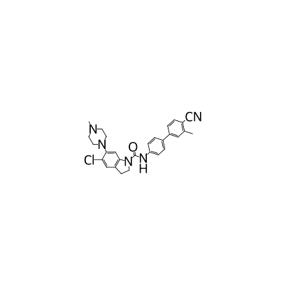 Cc1cc(-c2ccc(NC(=O)N3CCc4cc(Cl)c(N5CCN(C)CC5)cc43)cc2)ccc1C#N